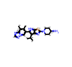 Cc1c(-c2[nH]c3sc(N4CCC(N)CC4)nc3c2C(C)C)cn2ncnc2c1C